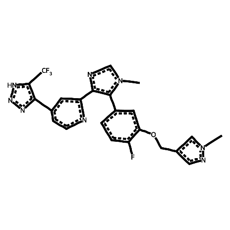 Cn1cc(COc2cc(-c3c(-c4cc(-c5nn[nH]c5C(F)(F)F)ccn4)ncn3C)ccc2F)cn1